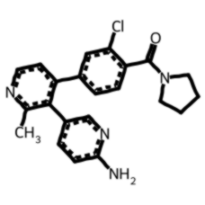 Cc1nccc(-c2ccc(C(=O)N3CCCC3)c(Cl)c2)c1-c1ccc(N)nc1